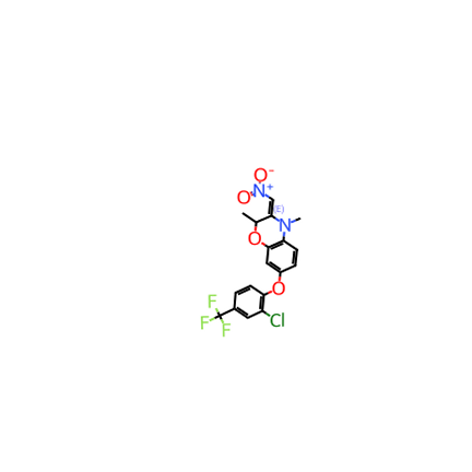 CC1Oc2cc(Oc3ccc(C(F)(F)F)cc3Cl)ccc2N(C)/C1=C/[N+](=O)[O-]